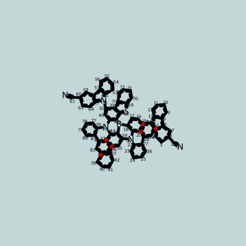 N#Cc1ccc2c(c1)c1ccccc1n2-c1ccc2c(c1)N(c1ccccc1-c1ccccc1)c1cc(-c3ccccc3)cc3c1B2c1c(cc(-n2c4ccccc4c4cc(C#N)ccc42)c2c1sc1ccccc12)N3c1ccccc1-c1ccccc1